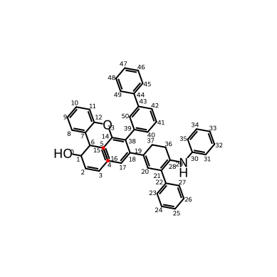 OC1C=CC=CC1c1ccccc1Oc1cccc(C2=CC(c3ccccc3)=C(Nc3ccccc3)CC2)c1-c1cccc(-c2ccccc2)c1